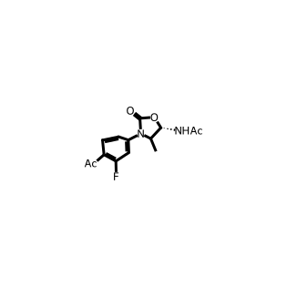 CC(=O)N[C@H]1OC(=O)N(c2ccc(C(C)=O)c(F)c2)C1C